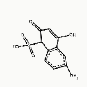 Nc1ccc2c(c1)C(O)=CC(=O)C2S(=O)(=O)O